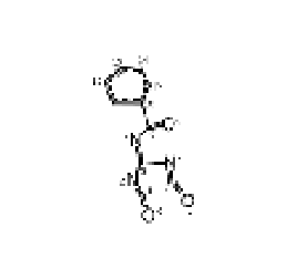 O=C=NC(N=C=O)=NC(=O)c1ccccc1